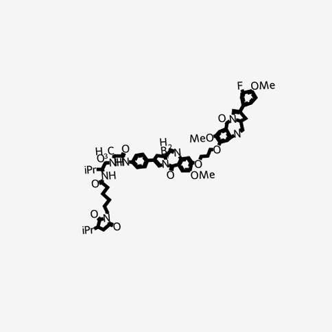 B[C@]12C=Nc3cc(OCCCOc4cc5c(cc4OC)C(=O)N4C=C(c6ccc(OC)c(F)c6)CC4C=N5)c(OC)cc3C(=O)N1C=C(c1ccc(NC(=O)C(C)NC(=O)C(NC(=O)CCCCCN3C(=O)CC(C(C)C)C3=O)C(C)C)cc1)C2